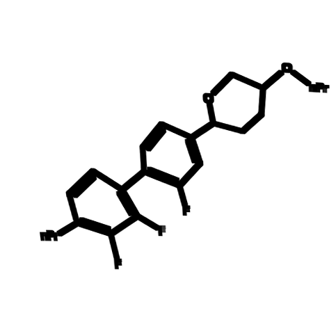 CCCOC1CCC(c2ccc(-c3ccc(CCC)c(F)c3F)c(F)c2)OC1